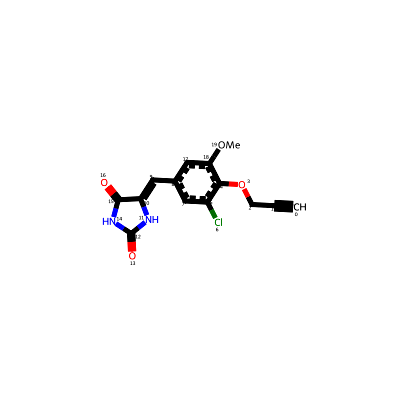 C#CCOc1c(Cl)cc(/C=C2\NC(=O)NC2=O)cc1OC